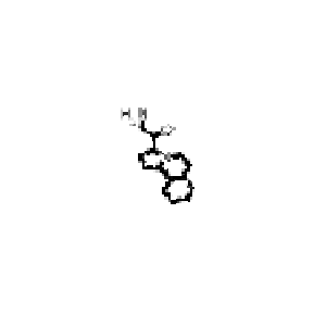 NCC(=O)c1ccc2c3ccccc3ccn12